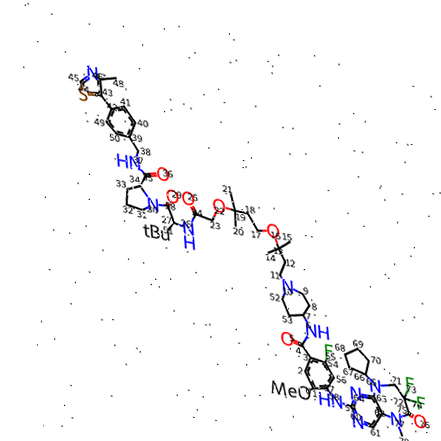 COc1cc(C(=O)NC2CCN(CCC(C)(C)OCCC(C)(C)OCC(=O)N[C@H](C(=O)N3CCC[C@H]3C(=O)NCc3ccc(-c4scnc4C)cc3)C(C)(C)C)CC2)c(F)cc1Nc1ncc2c(n1)N(C1CCCC1)CC(F)(F)C(=O)N2C